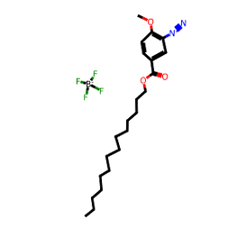 CCCCCCCCCCCCCCOC(=O)c1ccc(OC)c([N+]#N)c1.F[B-](F)(F)F